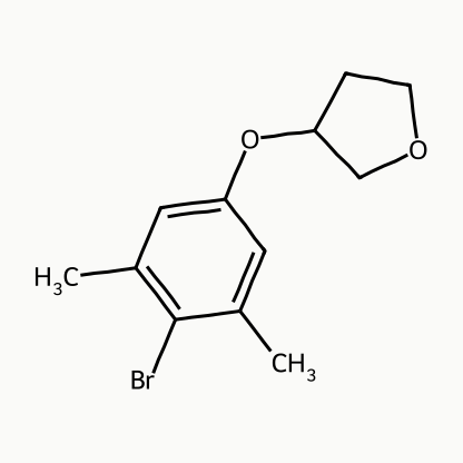 Cc1cc(OC2CCOC2)cc(C)c1Br